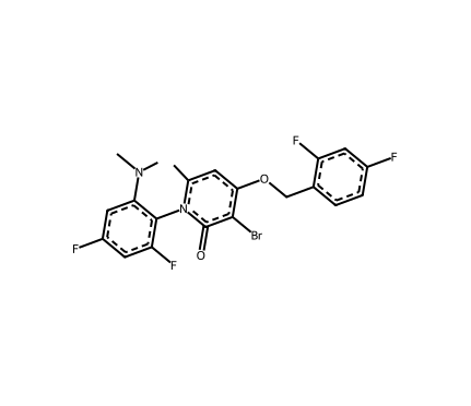 Cc1cc(OCc2ccc(F)cc2F)c(Br)c(=O)n1-c1c(F)cc(F)cc1N(C)C